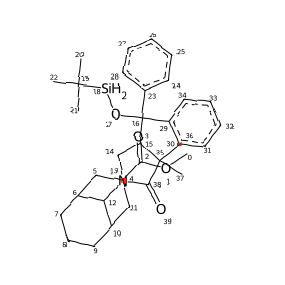 COC(=O)C1CC2CCCC(C1)C2N1CC(C(O[SiH2]C(C)(C)C)(c2ccccc2)c2ccccc2)C(C)(C)C1=O